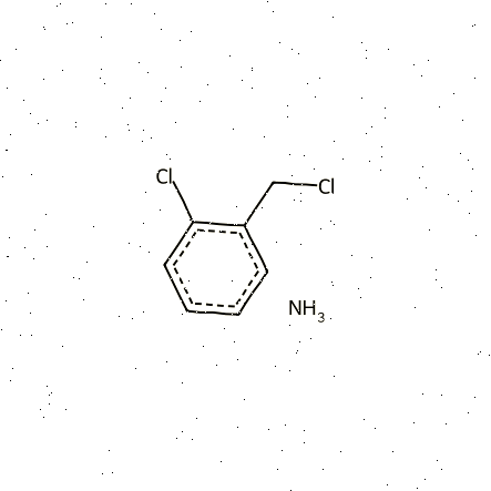 ClCc1ccccc1Cl.N